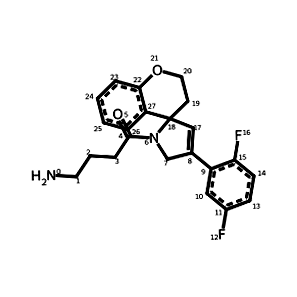 NCCCC(=O)N1CC(c2cc(F)ccc2F)=CC12CCOc1ccccc12